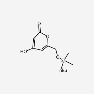 CCCC[Si](C)(C)OCc1cc(O)cc(=O)o1